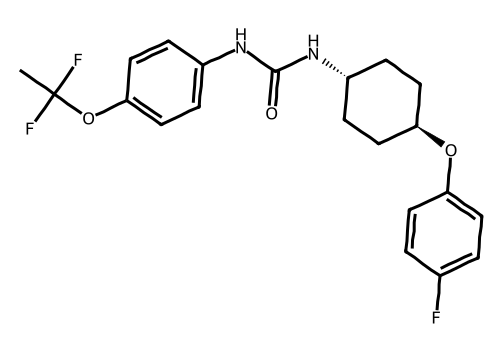 CC(F)(F)Oc1ccc(NC(=O)N[C@H]2CC[C@H](Oc3ccc(F)cc3)CC2)cc1